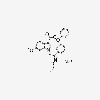 CCO/N=C(\Cn1cc(C(=O)[O-])c2ccc(OC)cc21)c1cccc(Oc2ccccc2)c1.[Na+]